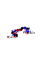 COC(=O)NC(C(=O)N1[C@@H]2CC[C@@H](C2)[C@H]1c1ncc(-c2ccc(-c3ccc4cc(-c5cnc([C@@H]6CC7(CC7)CN6C(=O)[C@@H](NC(=O)OC)C(C)C)[nH]5)ccc4c3)cc2)[nH]1)c1ccccc1